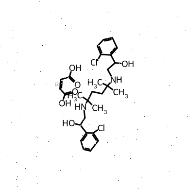 CC(C)(CCC(C)(C)NCC(O)c1ccccc1Cl)NCC(O)c1ccccc1Cl.O=C(O)/C=C\C(=O)O